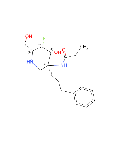 CCC(=O)N[C@@]1(CCCc2ccccc2)CN[C@H](CO)[C@H](F)[C@@H]1O